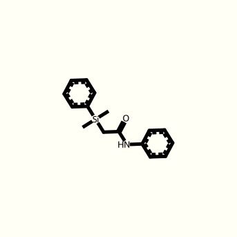 C[Si](C)(CC(=O)Nc1ccccc1)c1ccccc1